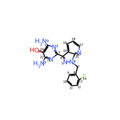 Nc1nc(-c2nn(Cc3ccccc3F)c3ncccc23)nc(N)c1O